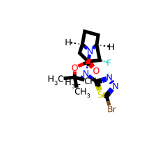 CN(c1nnc(Br)s1)[C@@H]1C[C@H]2CC[C@@H]([C@@H]1F)N2C(=O)OC(C)(C)C